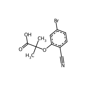 CC(C)(Oc1cc(Br)ccc1C#N)C(=O)O